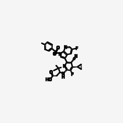 Cc1ccc(S(=O)(=O)n2cc(-c3nc(NC(CC(=O)O)C(C)(C)C)c(F)c(C4CC4)c3C#N)c3cc(F)cnc32)cc1